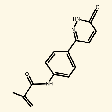 C=C(C)C(=O)Nc1ccc(-c2ccc(=O)[nH]n2)cc1